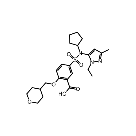 CCn1nc(C)cc1N(C1CCCC1)S(=O)(=O)c1ccc(OCC2CCOCC2)c(C(=O)O)c1